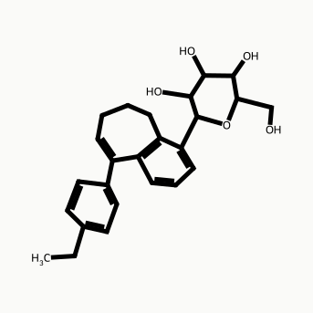 CCc1ccc(C2=CCCCc3c2cccc3C2OC(CO)C(O)C(O)C2O)cc1